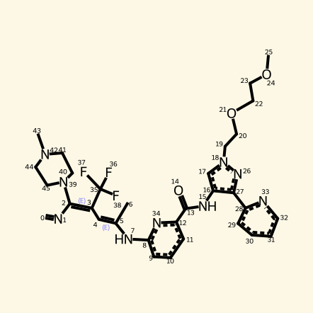 C=N/C(=C(\C=C(/C)Nc1cccc(C(=O)Nc2cn(CCOCCOC)nc2-c2ccccn2)n1)C(F)(F)F)N1CCN(C)CC1